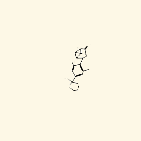 CCCCCCC1(c2cc(O)c([C@@H]3CC(=O)[C@@H]4C5[C@H]3C54C)c(O)c2)SCCS1